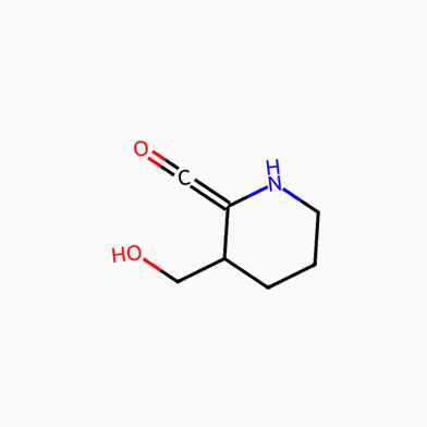 O=C=C1NCCCC1CO